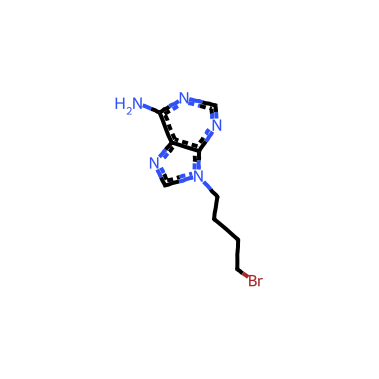 Nc1ncnc2c1ncn2CCCCBr